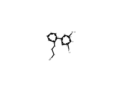 FCCCc1ccccc1-c1cc(F)cc(F)c1